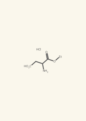 CCOC(=O)C(N)CC(=O)O.Cl